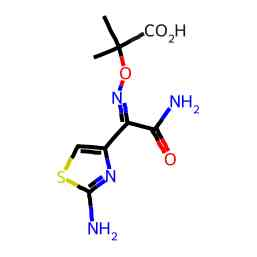 CC(C)(ON=C(C(N)=O)c1csc(N)n1)C(=O)O